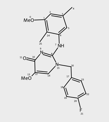 COc1cc(C)cc(Nc2nc(=O)c(OC)cn2Cc2ccc(F)cc2)c1C